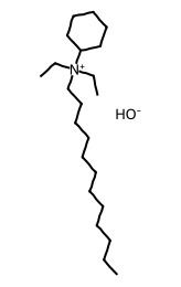 CCCCCCCCCCCC[N+](CC)(CC)C1CCCCC1.[OH-]